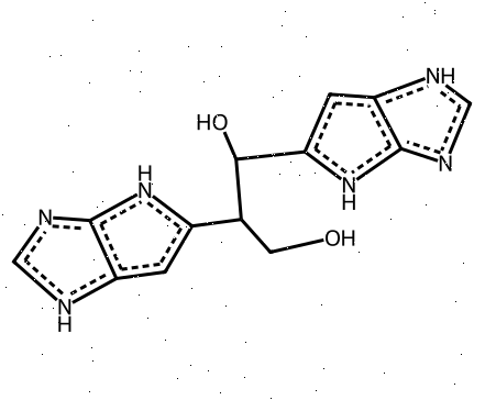 OCC(c1cc2[nH]cnc2[nH]1)C(O)c1cc2[nH]cnc2[nH]1